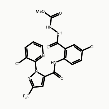 COC(=O)NNC(=O)c1cc(Cl)ccc1NC(=O)c1cc(C(F)(F)F)nn1-c1ncccc1Cl